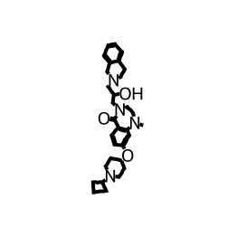 CN1CCN(CC(O)CN2CCc3ccccc3C2)C(=O)c2ccc(OC3CCN(C4CCC4)CC3)cc21